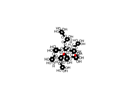 CC(C)=C(Oc1cc(C(=O)OC2O[C@H](COC(=O)c3cc(O)c(O)c(OC(=O)c4cc(O)c(O)c(O)c4)c3)C(OC(=O)c3cc(O)c(O)c(OC(=O)c4cc(O)c(O)c(O)c4)c3)[C@H](OC(=O)c3cc(O)c(O)c(OC(=O)c4cc(O)c(O)c(O)c4)c3)C2OC(=O)c2cc(O)c(O)c(OC(=O)c3cc(O)c(O)c(O)c3)c2)cc(O)c1O)c1cc(O)c(O)c(O)c1